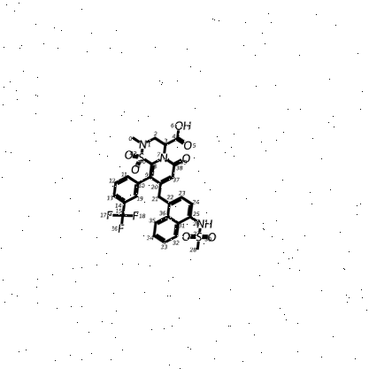 CN1CC(C(=O)O)n2c(c(-c3cccc(C(F)(F)F)c3)c(Cc3ccc(NS(C)(=O)=O)c4ccccc34)cc2=O)S1(=O)=O